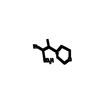 CCC(C(C)N1CCOCC1)S(=O)(=O)O